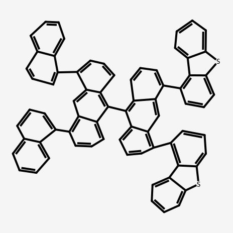 c1ccc2c(-c3cccc4c(-c5c6cccc(-c7cccc8sc9ccccc9c78)c6cc6c(-c7cccc8sc9ccccc9c78)cccc56)c5cccc(-c6cccc7ccccc67)c5cc34)cccc2c1